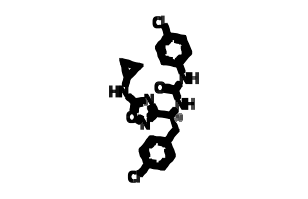 O=C(Nc1ccc(Cl)cc1)N[C@@H](Cc1ccc(Cl)cc1)c1noc(NC2CC2)n1